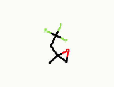 CC1(CC(F)(F)F)CO1